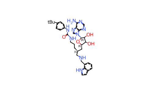 CC(C)(C)c1ccc(NC(=O)NCCC[C@H](CNCc2cccc3cc[nH]c23)C[C@H]2O[C@@H](n3cnc4c(N)ncnc43)C(O)C2O)cc1